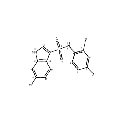 Cc1ccc(NS(=O)(=O)c2c[nH]c3cc(C)ccc23)c(F)c1